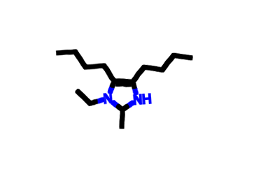 CCCCC1=C(CCCC)N(CC)C(C)N1